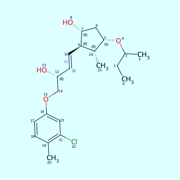 CCC(C)O[C@H]1C[C@@H](O)[C@H](/C=C/[C@@H](O)COc2ccc(C)c(Cl)c2)[C@H]1C